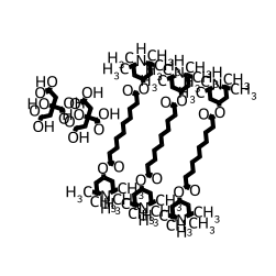 CC1(C)CC(OC(=O)CCCCCCCCC(=O)OC2CC(C)(C)NC(C)(C)C2)CC(C)(C)N1.CC1(C)CC(OC(=O)CCCCCCCCC(=O)OC2CC(C)(C)NC(C)(C)C2)CC(C)(C)N1.CC1(C)CC(OC(=O)CCCCCCCCC(=O)OC2CC(C)(C)NC(C)(C)C2)CC(C)(C)N1.O=C(O)CC(O)(CC(=O)O)C(=O)O.O=C(O)CC(O)(CC(=O)O)C(=O)O